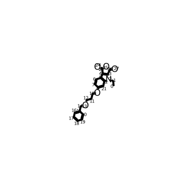 CCn1c2c(c3ccc(OCCCOCc4ccccc4)cc31)C(=O)OC2=O